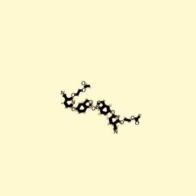 CC(=O)OCCOc1nc(Oc2ccc3c(c2)COB3OB2OCc3cc(Oc4ccc(C#N)c(OCCOC(C)=O)n4)ccc32)ccc1C#N